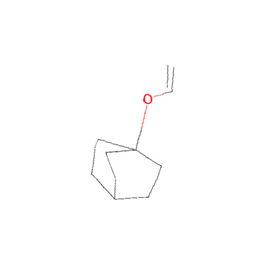 C=COC12CCC(CC1)C2